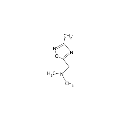 [CH2]c1noc(CN(C)C)n1